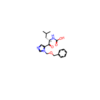 CC(C)C[C@H](NC(=O)O)C(=O)c1cncn1COCc1ccccc1